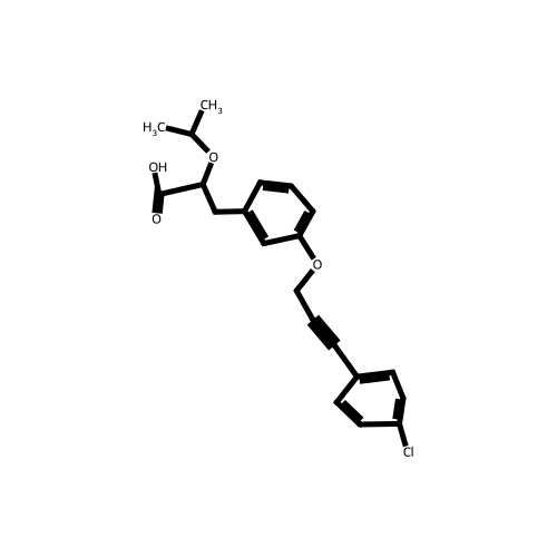 CC(C)OC(Cc1cccc(OCC#Cc2ccc(Cl)cc2)c1)C(=O)O